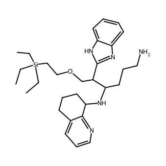 CC[Si](CC)(CC)CCOCC(c1nc2ccccc2[nH]1)C(CCCN)NC1CCCc2cccnc21